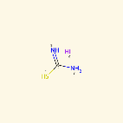 I.N=C(N)S